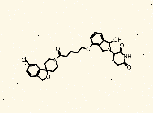 O=C1CCC(N2Cc3c(OCCCCC(=O)N4CCC5(CC4)OCc4ccc(Cl)cc45)cccc3C2O)C(=O)N1